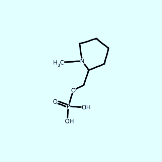 CN1CCCCC1COP(=O)(O)O